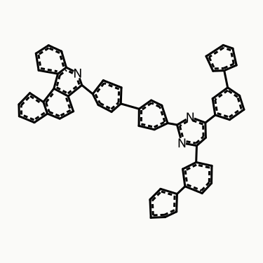 c1ccc(-c2cccc(-c3cc(-c4cccc(-c5ccccc5)c4)nc(-c4ccc(-c5ccc(-c6nc7ccccc7c7c6ccc6ccccc67)cc5)cc4)n3)c2)cc1